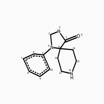 O=C1[N]CN(c2ccccc2)C12CCNCC2